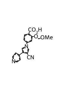 COCOc1cc(-n2cc(C#N)c(-c3ccncc3)c2)ccc1C(=O)O